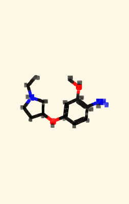 CCN1CCC(Oc2ccc(N)c(OC)c2)C1